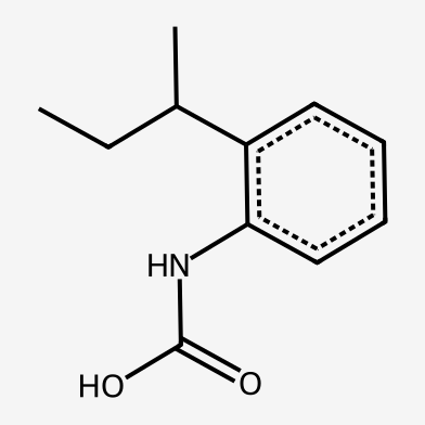 CCC(C)c1ccccc1NC(=O)O